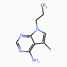 Nc1ncnc2c1c(I)cn2CCC(F)(F)F